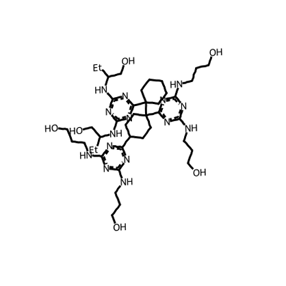 CCC(CO)Nc1nc(NC(CC)CO)nc(C2(C3(c4nc(NCCCO)nc(NCCCO)n4)CCC(c4nc(NCCCO)nc(NCCCO)n4)CC3)CCCCC2)n1